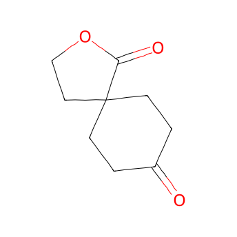 O=C1CCC2(CCOC2=O)CC1